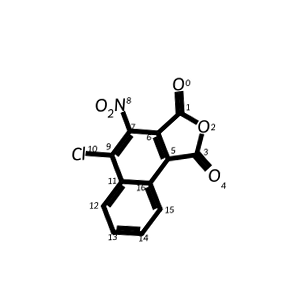 O=C1OC(=O)c2c1c([N+](=O)[O-])c(Cl)c1ccccc21